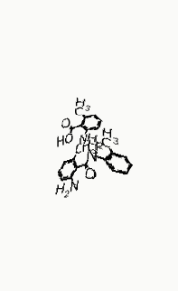 Cc1cccc(N)c1C(=O)O.Cc1ccccc1NC(=O)c1c(C)cccc1N